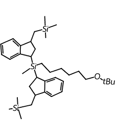 CC(C)(C)OCCCCCC[Si](C)(C1CC(C[Si](C)(C)C)c2ccccc21)C1CC(C[Si](C)(C)C)c2ccccc21